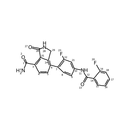 NC(=O)c1ccc(-c2ccc(NC(=O)c3ccccc3F)cc2F)c2c1C(=O)NC2